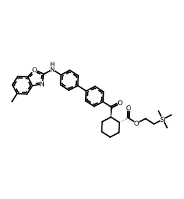 Cc1ccc2oc(Nc3ccc(-c4ccc(C(=O)[C@@H]5CCCC[C@H]5C(=O)OCC[Si](C)(C)C)cc4)cc3)nc2c1